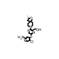 C[C@H]1CC2(CCN(c3ncc(Sc4cc(N)ncc4Cl)nc3CO)CC2)CO1